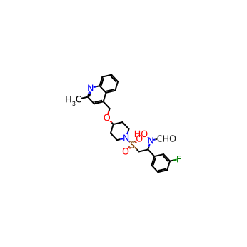 Cc1cc(COC2CCN(S(=O)(=O)CC(c3cccc(F)c3)N(O)C=O)CC2)c2ccccc2n1